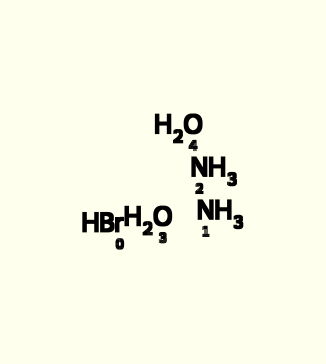 Br.N.N.O.O